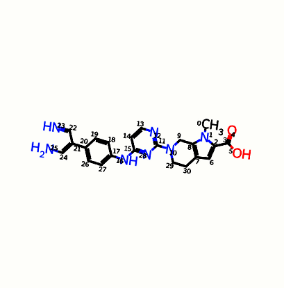 Cn1c(C(=O)O)cc2c1CN(c1nccc(Nc3ccc(/C(C=N)=C/N)cc3)n1)CC2